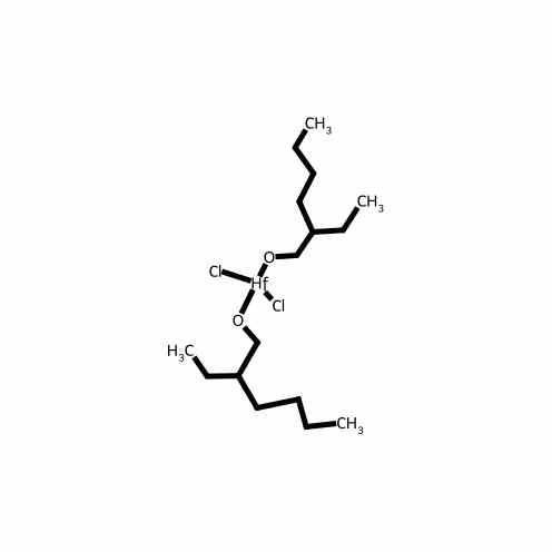 CCCCC(CC)C[O][Hf]([Cl])([Cl])[O]CC(CC)CCCC